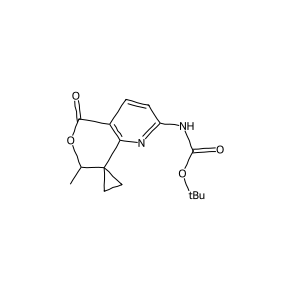 CC1OC(=O)c2ccc(NC(=O)OC(C)(C)C)nc2C12CC2